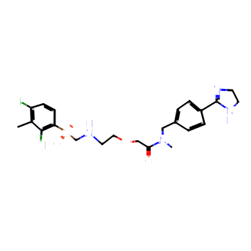 Cc1c(Cl)ccc(S(=O)(=O)CNCCOCC(=O)N(C)Cc2ccc(C3=NCCN3)cc2)c1Cl